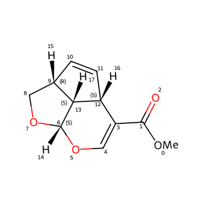 COC(=O)C1=CO[C@@H]2OC[C@@H]3C=C[C@H]1[C@H]23